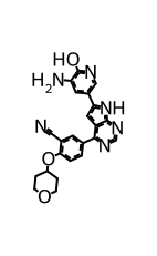 N#Cc1cc(-c2ncnc3[nH]c(-c4cnc(O)c(N)c4)cc23)ccc1OC1CCOCC1